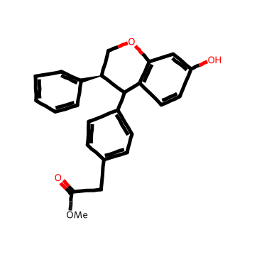 COC(=O)Cc1ccc(C2c3ccc(O)cc3OC[C@@H]2c2ccccc2)cc1